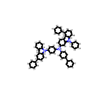 c1ccc(-c2ccc(N(c3ccc(-n4c5ccccc5c5cc(-c6ccccc6)ccc54)cc3)c3ccc4c5c(-c6ccccc6)cccc5n(-c5ccccc5)c4c3)cc2)cc1